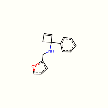 C1=CC(NCc2ccco2)(c2ccccc2)C1